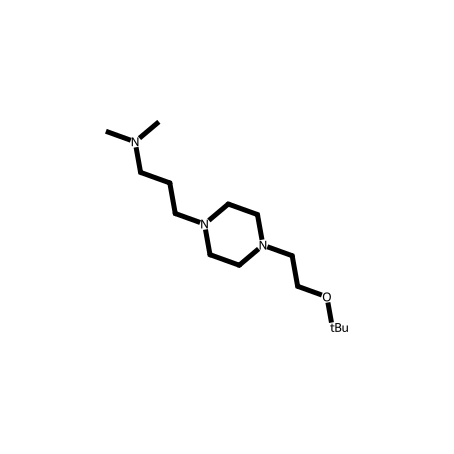 CN(C)CCCN1CCN(CCOC(C)(C)C)CC1